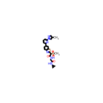 Cc1cnn(-c2cccc(-c3ccc4nc(C(C(=O)NCC(=O)NC5CC5)S(C)(=O)=O)sc4c3)n2)c1